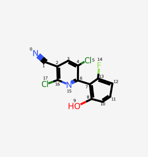 N#Cc1cc(Cl)c(-c2c(O)cccc2F)nc1Cl